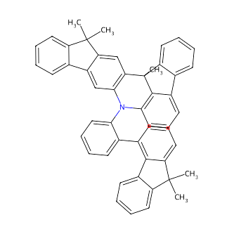 CC1(C)c2ccccc2-c2cc3c(cc21)C1(C)c2ccccc2-c2cccc(c21)N3c1ccccc1-c1cccc2c1-c1ccccc1C2(C)C